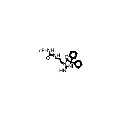 CCCNC(=O)NCCCN1C(=N)NC(c2ccccc2)(c2ccccc2)C1=O